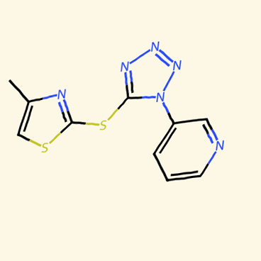 Cc1csc(Sc2nnnn2-c2cccnc2)n1